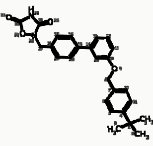 CC(C)(C)c1ccc(COc2cccc(-c3ccc(Cn4oc(=O)[nH]c4=O)cc3)c2)cc1